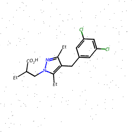 CCc1nn(CC(CC)C(=O)O)c(CC)c1Cc1cc(Cl)cc(Cl)c1